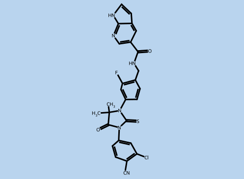 CC1(C)C(=O)N(c2ccc(C#N)c(Cl)c2)C(=S)N1c1ccc(CNC(=O)c2cnc3[nH]ccc3c2)c(F)c1